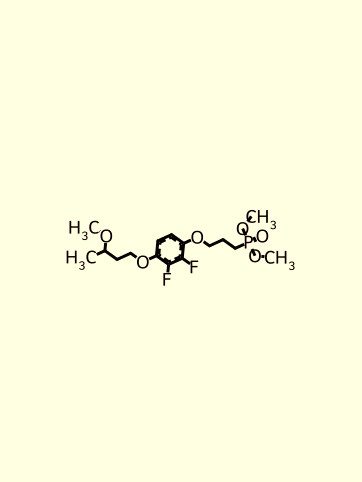 COC(C)CCOc1ccc(OCCCP(=O)(OC)OC)c(F)c1F